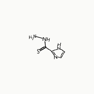 NNC(=S)c1ncc[nH]1